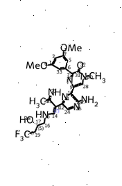 COc1cc(OC)cc(-c2nc(-c3nc(/C(=C/NC[C@@H](O)CC(F)(F)F)C(C)=N)cnc3N)cn(C)c2=O)c1